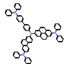 c1ccc(N(c2ccccc2)c2ccc(-c3ccc(N(c4ccc5c(ccc6cc(N(c7ccccc7)c7ccccc7)ccc65)c4)c4cc5c6c(ccc7cc(N(c8ccccc8)c8ccccc8)cc(c76)CC5)c4)cc3)cc2)cc1